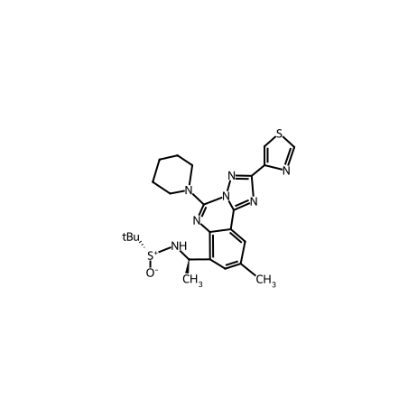 Cc1cc([C@@H](C)N[S@+]([O-])C(C)(C)C)c2nc(N3CCCCC3)n3nc(-c4cscn4)nc3c2c1